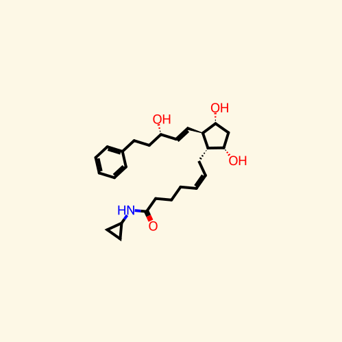 O=C(CCC/C=C\C[C@@H]1[C@@H](/C=C/[C@@H](O)CCc2ccccc2)[C@H](O)C[C@@H]1O)NC1CC1